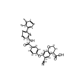 Cc1cccc(-c2cccc(NC(=O)c3ccc(Oc4cc5c(cc4C#N)C(C(=O)O)CCO5)cc3)n2)c1C